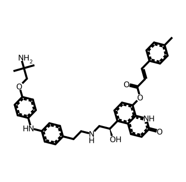 Cc1ccc(/C=C/C(=O)Oc2ccc([C@@H](O)CNCCc3ccc(Nc4ccc(OCC(C)(C)N)cc4)cc3)c3ccc(=O)[nH]c23)cc1